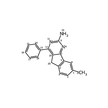 Cc1ccc2c(c1)-c1nc(N)nc(-c3ccccc3)c1C2